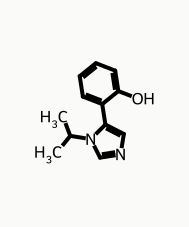 CC(C)n1cncc1-c1ccccc1O